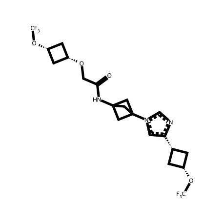 O=C(CO[C@H]1C[C@@H](OC(F)(F)F)C1)NC12CC(n3cnc([C@H]4C[C@@H](OC(F)(F)F)C4)c3)(C1)C2